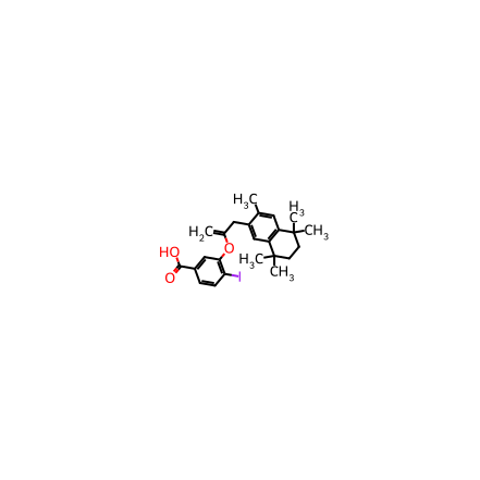 C=C(Cc1cc2c(cc1C)C(C)(C)CCC2(C)C)Oc1cc(C(=O)O)ccc1I